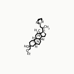 CCOC[C@@]1(O)CC[C@H]2[C@H](CC[C@@H]3[C@@H]2CC[C@]2(C)[C@@H]([C@H](C)Cn4nccn4)CC[C@@H]32)C1